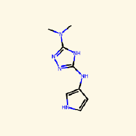 CN(C)c1nnc(Nc2cc[nH]c2)[nH]1